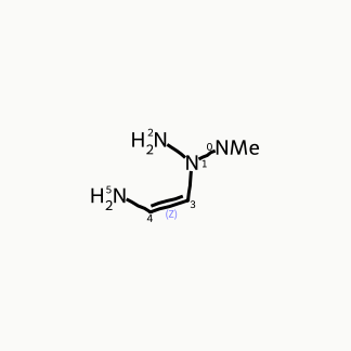 CNN(N)/C=C\N